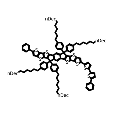 CCCCCCCCCCCCCCCCc1ccc(C2(c3ccc(CCCCCCCCCCCCCCCC)cc3)c3cc4c(cc3-c3sc5c(sc6cc(-c7ccccc7)sc65)c32)C(c2ccc(CCCCCCCCCCCCCCCC)cc2)(c2ccc(CCCCCCCCCCCCCCCC)cc2)c2c-4sc3c2sc2cc(-c4ccc(-c5ccc(-c6ccccc6)s5)s4)sc23)cc1